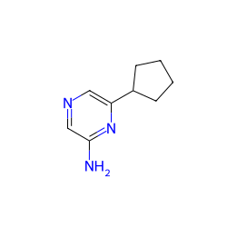 Nc1cncc(C2CCCC2)n1